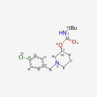 CC(C)(C)NC(=O)O[C@H]1CCCN(Cc2ccc(Cl)cc2)C1